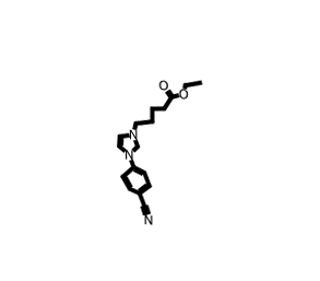 CCOC(=O)CCCCN1C=CN(c2ccc(C#N)cc2)C1